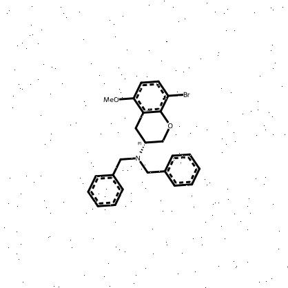 COc1ccc(Br)c2c1C[C@@H](N(Cc1ccccc1)Cc1ccccc1)CO2